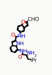 CC(C)C[C@H](N)C(=O)NC1=CC=CC2C=C(C(=O)Nc3ccc4oc(C=O)cc4c3)NC12